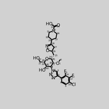 CO[C@@H]1[C@@H](n2cc(-c3ccc(Cl)c(F)c3F)nn2)[C@@H](O)[C@@H](CO)O[C@@H]1CC1CC(C2CCN(C(=O)O)CC2)=NO1